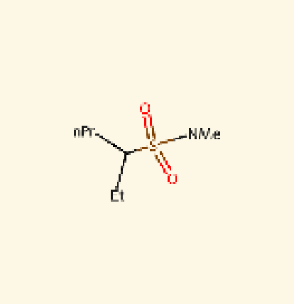 CCCC(CC)S(=O)(=O)NC